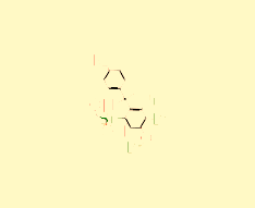 CC(C)(c1ccc(O)cc1)c1c(Br)cc(OBr)c(Br)c1Br.OCCO